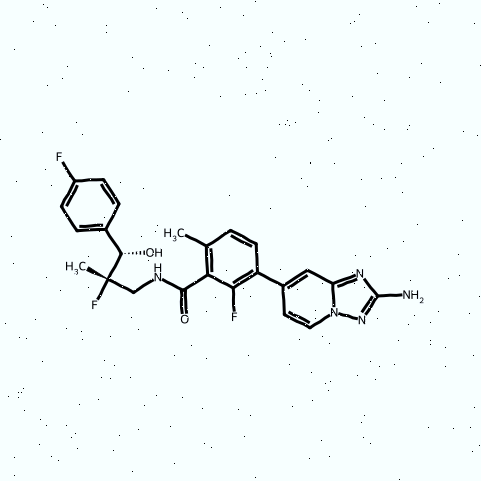 Cc1ccc(-c2ccn3nc(N)nc3c2)c(F)c1C(=O)NC[C@](C)(F)[C@@H](O)c1ccc(F)cc1